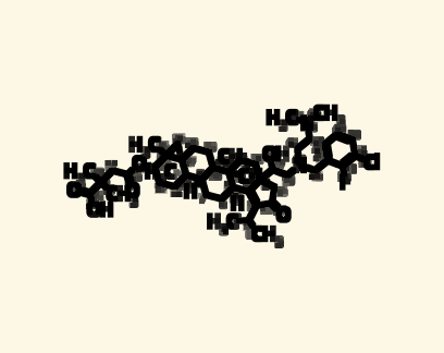 CC(C)C1=C2[C@H]3CC[C@@H]4[C@@]5(C)CC[C@H](OC(=O)CC(C)(C)C(=O)O)C6(C)C[C@]65CC[C@@]4(C)[C@]3(C)CCC2(C(O)CN(CCN(C)C)Cc2cccc(Cl)c2F)CC1=O